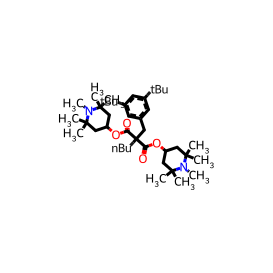 CCCCC(Cc1cc(C(C)(C)C)cc(C(C)(C)C)c1)(C(=O)OC1CC(C)(C)N(C)C(C)(C)C1)C(=O)OC1CC(C)(C)N(C)C(C)(C)C1